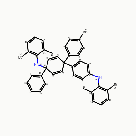 CCCCc1ccc(C2(c3ccc(Nc4c(C)cccc4CC)cc3)C=CC(Nc3c(C)cccc3CC)(c3ccccc3)C=C2)cc1